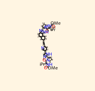 COC(=O)N[C@H](C(=O)N1CCC[C@H]1c1ncc(-c2ccc(C#Cc3ccc4c(ccc5nc([C@@H]6CCCN6C(=O)[C@@H](NC(=O)OC)C(C)C)[nH]c54)c3)nc2)[nH]1)C(C)C